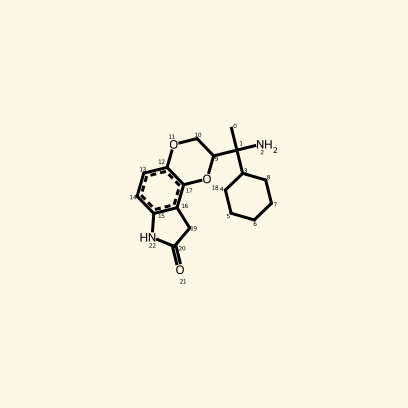 CC(N)(C1CCCCC1)C1COc2ccc3c(c2O1)CC(=O)N3